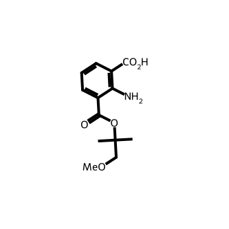 COCC(C)(C)OC(=O)c1cccc(C(=O)O)c1N